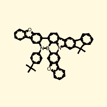 CC(C)(C)c1ccc(N2B3c4cc5oc6ccccc6c5cc4-n4c5cc6c(cc5c5ccc(c3c54)-c3cc4oc5ccccc5c4cc32)-c2ccccc2C6(C)C)cc1